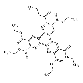 CCOC(=O)c1cc2c3cc(C(=O)OCC)c(C(=O)OCC)nc3c3nc(C(=O)OCC)c(C(=O)OCC)nc3c2nc1C(=O)OCC